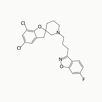 Fc1ccc2c(CCCN3CCCC4(Cc5cc(Cl)cc(Cl)c5O4)C3)noc2c1